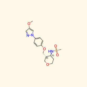 COc1cnn(-c2ccc(OC[C@H]3COCC[C@@H]3NS(C)(=O)=O)cc2)c1